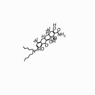 CCCCCN(CCCCC)Cc1cc(N(C)C)c2c(c1O)C(=O)C1=C(O)[C@@]3(O)C(=O)C(C(N)=O)=C(O)[C@H](N(C)C)[C@H]3C[C@@H]1C2